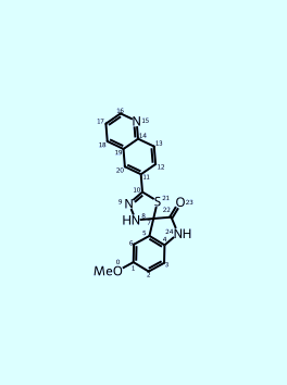 COc1ccc2c(c1)C1(NN=C(c3ccc4ncccc4c3)S1)C(=O)N2